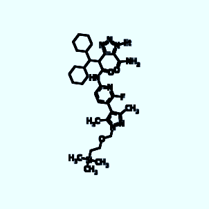 CCn1nnc(C(C(=O)Nc2ccc(-c3c(C)nn(COCC[Si](C)(C)C)c3C)c(F)n2)C(C2CCCCC2)C2CCCCC2)c1C(N)=O